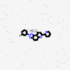 O=C(O)c1cc(-c2ccccn2)nc2ccc3nn(-c4cccc(F)c4)nc3c12